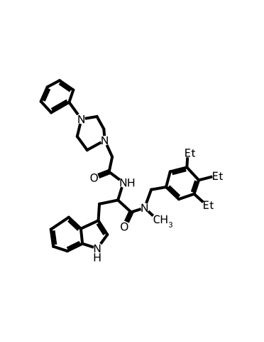 CCc1cc(CN(C)C(=O)C(Cc2c[nH]c3ccccc23)NC(=O)CN2CCN(c3ccccc3)CC2)cc(CC)c1CC